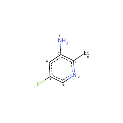 CCc1ncc(F)cc1N